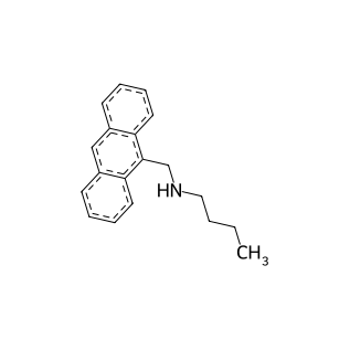 CCCCNCc1c2ccccc2cc2ccccc12